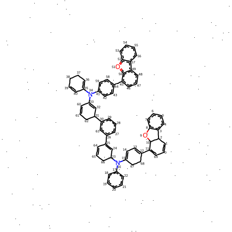 C1=CC2c3ccccc3OC2C(C2=CC=C(N(c3ccccc3)C3C=C(c4cccc(C5C=C(N(C6=CCCC=C6)c6ccc(-c7cccc8c7oc7ccccc78)cc6)C=CC5)c4)C=CC3)CC2)=C1